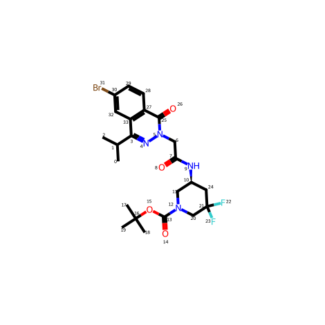 CC(C)c1nn(CC(=O)N[C@@H]2CN(C(=O)OC(C)(C)C)CC(F)(F)C2)c(=O)c2ccc(Br)cc12